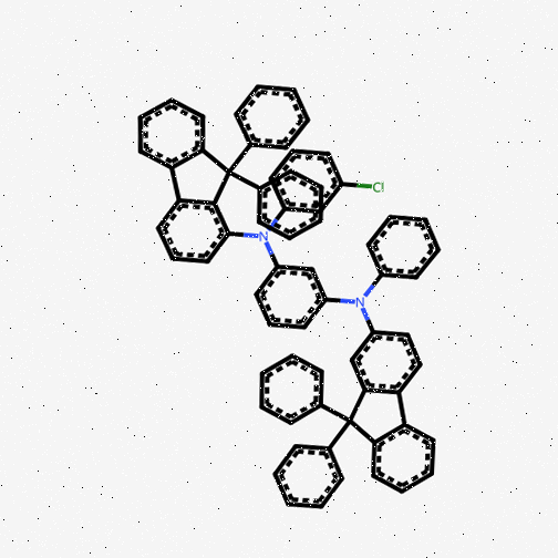 Clc1cccc(N(c2cccc(N(c3ccccc3)c3ccc4c(c3)C(c3ccccc3)(c3ccccc3)c3ccccc3-4)c2)c2cccc3c2C(c2ccccc2)(c2ccccc2)c2ccccc2-3)c1